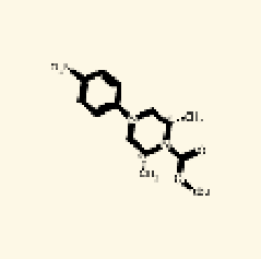 C[C@@H]1CN(c2ccc([N+](=O)[O-])cc2)C[C@H](C)N1C(=O)OC(C)(C)C